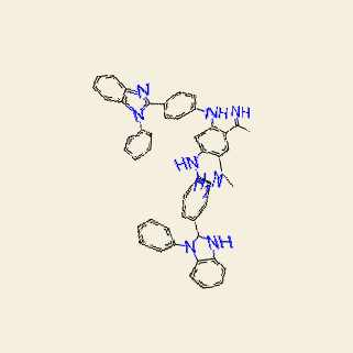 CC(=N)c1cc(C(C)N)c(Nc2ccc(C3Nc4ccccc4N3c3ccccc3)cc2)cc1Nc1ccc(-c2nc3ccccc3n2-c2ccccc2)cc1